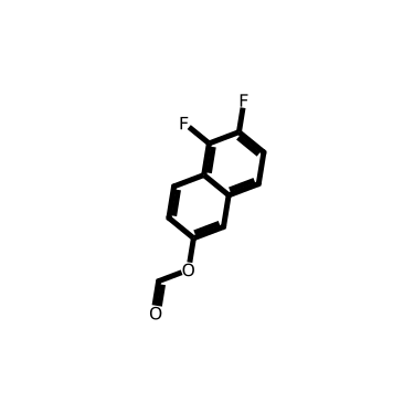 O=COc1ccc2c(F)c(F)ccc2c1